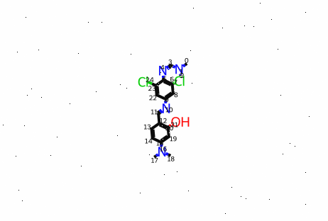 CN(C)/C=N\c1c(Cl)cc(/N=C/c2ccc(N(C)C)cc2O)cc1Cl